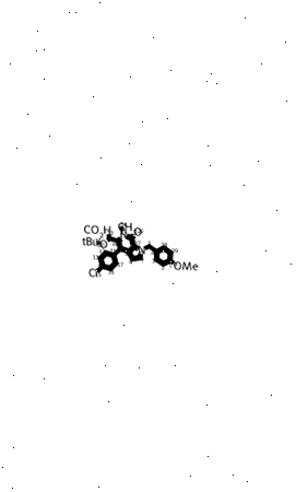 COc1ccc(Cn2ccc3c(-c4ccc(Cl)cc4)c(C(OC(C)(C)C)C(=O)O)n(C)c(=O)c32)cc1